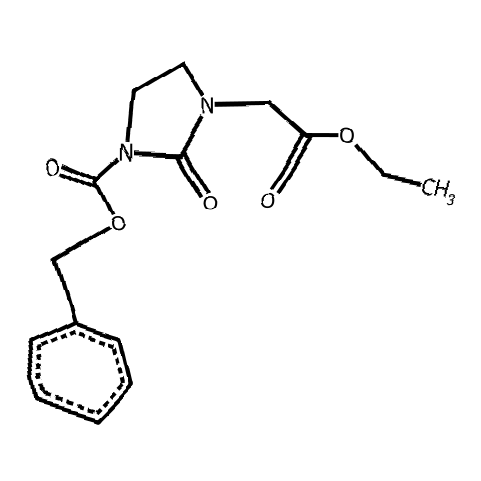 CCOC(=O)CN1CCN(C(=O)OCc2ccccc2)C1=O